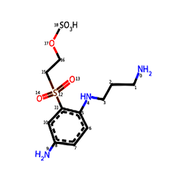 NCCCNc1ccc(N)cc1S(=O)(=O)CCOS(=O)(=O)O